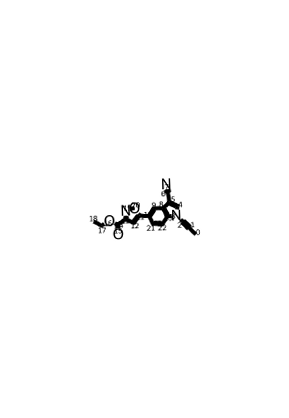 CC#Cn1cc(C#N)c2cc(-c3cc(C(=O)OCC)no3)ccc21